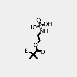 CCC(C)(C)C(=O)OCCNP(=O)(O)O